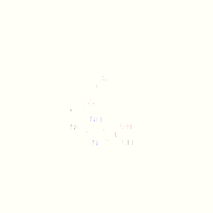 CC(=O)CCCOc1ccccc1Nc1c(C#N)cnc2cc(C)c(O)cc12